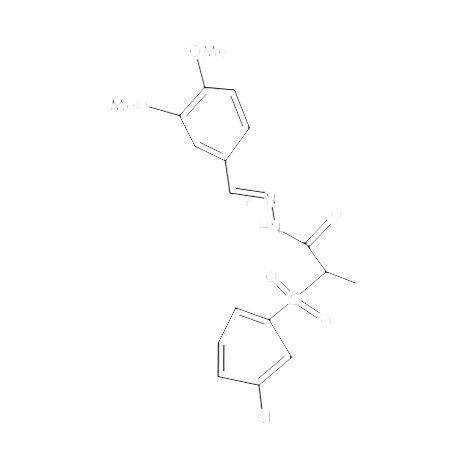 COc1ccc(/C=N/NC(=O)C(C)S(=O)(=O)c2cccc(Cl)c2)cc1OC